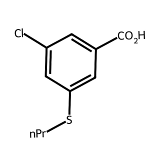 CCCSc1cc(Cl)cc(C(=O)O)c1